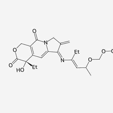 C=C1Cn2c(cc3c(c2=O)COC(=O)[C@]3(O)CC)/C1=N/C(=C/C(C)OCOCl)CC